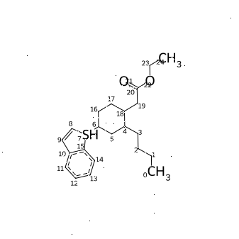 CCCCC1CC([SH]2C=Cc3ccccc32)CCC1CC(=O)OCC